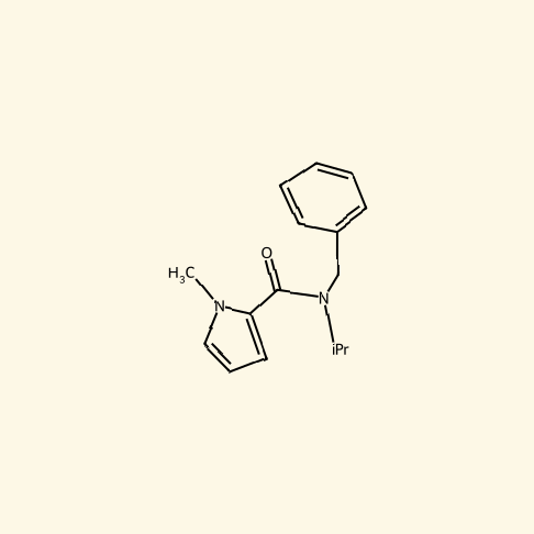 CC(C)N(Cc1ccccc1)C(=O)c1cccn1C